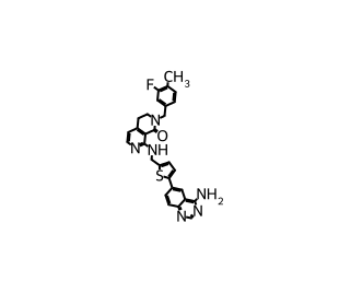 Cc1ccc(CN2CCc3ccnc(NCc4ccc(-c5ccc6ncnc(N)c6c5)s4)c3C2=O)cc1F